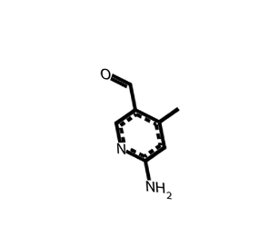 Cc1cc(N)ncc1C=O